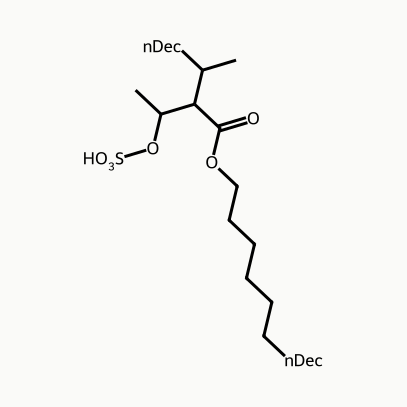 CCCCCCCCCCCCCCCCOC(=O)C(C(C)CCCCCCCCCC)C(C)OS(=O)(=O)O